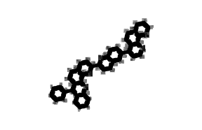 c1ccc(-c2c3ccccc3nc3c2ccc2ccc(-c4ccc5cc(-c6ccnc7c6ccc6cccnc67)ccc5n4)nc23)cc1